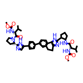 COC(=O)N[C@H](C(=O)NC1CCCC1c1nc2c([nH]1)-c1ccc(-c3ccc(-c4cnc([C@@H]5CCCN5C(=O)[C@@H](NC(=O)OC)C(C)C)[nH]4)cc3)cc1CC2)C(C)C